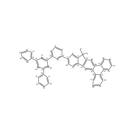 CC1(C)c2cc(-c3cccc(-c4nc(-c5ccccc5)nc(-c5ccccc5)n4)c3)ccc2-c2cc3c4ccccc4c4ccccc4c3cc21